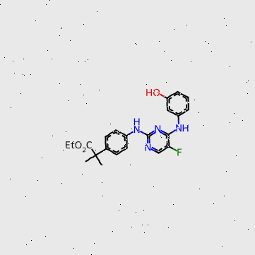 CCOC(=O)C(C)(C)c1ccc(Nc2ncc(F)c(Nc3cccc(O)c3)n2)cc1